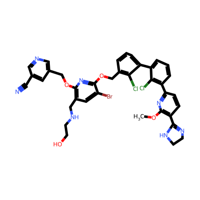 COc1nc(-c2cccc(-c3cccc(COc4nc(OCc5cncc(C#N)c5)c(CNCCO)cc4Br)c3Cl)c2Cl)ccc1C1=NCCN1